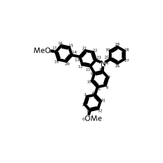 COc1ccc(-c2ccc3c(c2)c2cc(-c4ccc(OC)cc4)ccc2n3-c2ccccc2)cc1